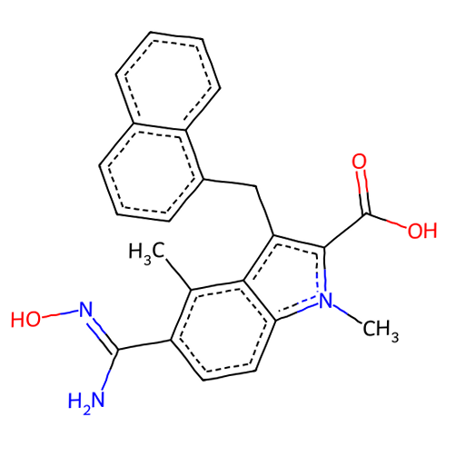 Cc1c(C(N)=NO)ccc2c1c(Cc1cccc3ccccc13)c(C(=O)O)n2C